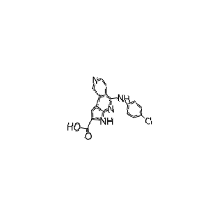 O=C(O)c1cc2c(nc(Nc3ccc(Cl)cc3)c3ccncc32)[nH]1